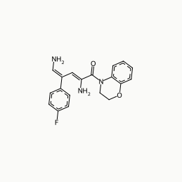 N/C=C(\C=C(/N)C(=O)N1CCOc2ccccc21)c1ccc(F)cc1